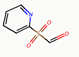 O=CS(=O)(=O)c1ccccn1